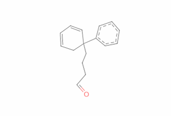 O=CCCCC1(c2ccccc2)C=CC=CC1